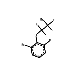 Fc1cccc(Br)c1OC(F)(F)C(F)(F)Br